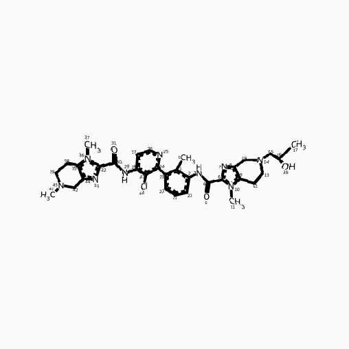 Cc1c(NC(=O)c2nc3c(n2C)CCN(CC(C)O)C3)cccc1-c1nccc(NC(=O)c2nc3c(n2C)CCN(C)C3)c1Cl